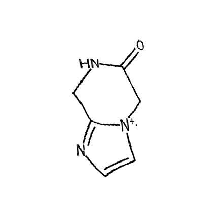 O=C1C[N+]2C=CN=C2CN1